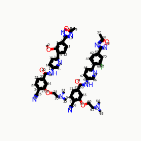 COc1cc(-c2noc(C)n2)ccc1-c1ccc(NC(=O)c2ccc(C#N)c(OCCN(C)C)c2)cn1.Cc1nc(-c2ccc(-c3ccc(NC(=O)c4ccc(C#N)c(OCCN(C)C)c4)cn3)c(F)c2)no1